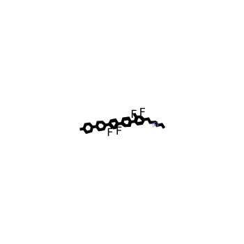 CC/C=C/CCc1ccc(-c2ccc(-c3ccc(C4CCC(C5CCC(C)CC5)CC4)c(F)c3F)cc2)c(F)c1F